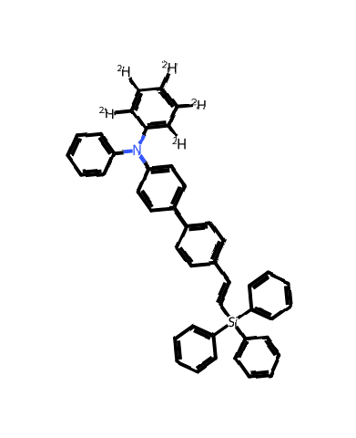 [2H]c1c([2H])c([2H])c(N(c2ccccc2)c2ccc(-c3ccc(/C=C/[Si](c4ccccc4)(c4ccccc4)c4ccccc4)cc3)cc2)c([2H])c1[2H]